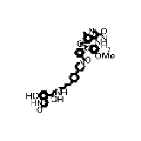 COc1cccc(Nc2c(C(N)=O)cnc3c(C)cc(S(=O)(=O)c4cccc(C(=O)N5CCC(C6CCC(CCCCNC[C@H](O)c7ccc(O)c8[nH]c(=O)ccc78)CC6)CC5)c4)cc23)c1